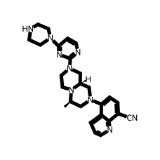 C[C@@H]1CN(c2ccc(C#N)c3ncccc23)C[C@@H]2CN(c3nccc(N4CCNCC4)n3)CCN21